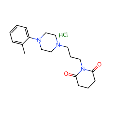 Cc1ccccc1N1CCN(CCCN2C(=O)CCCC2=O)CC1.Cl